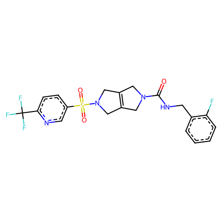 O=C(NCc1ccccc1F)N1CC2=C(C1)CN(S(=O)(=O)c1ccc(C(F)(F)F)nc1)C2